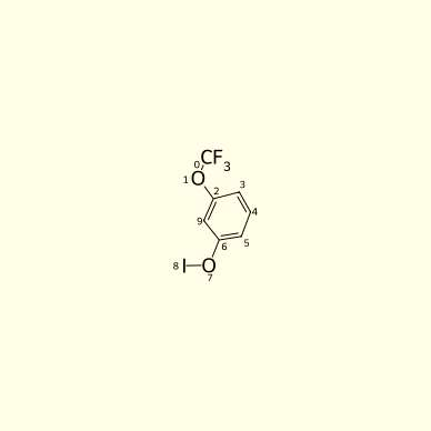 FC(F)(F)Oc1cccc(OI)c1